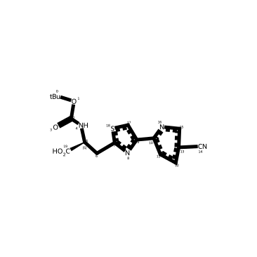 CC(C)(C)OC(=O)N[C@@H](Cc1nc(-c2ccc(C#N)cn2)cs1)C(=O)O